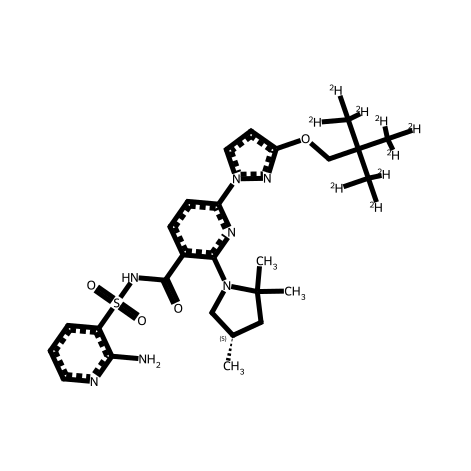 [2H]C([2H])([2H])C(COc1ccn(-c2ccc(C(=O)NS(=O)(=O)c3cccnc3N)c(N3C[C@@H](C)CC3(C)C)n2)n1)(C([2H])([2H])[2H])C([2H])([2H])[2H]